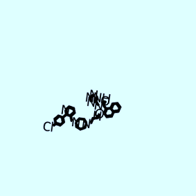 O=C(Nc1nnn[nH]1)c1c(OCCCN2CCCN(Cc3cccnc3-c3ccc(Cl)cc3)CC2)ccc2ccccc12